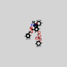 O=C(OCOc1cc(C(=O)OCc2ccccc2)c2c(c1)[C@@]13CCCC[C@H]1[C@@H](C2)NCC3)OC1CCCCC1